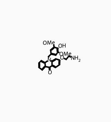 COc1cc(Cn2c3ccccc3c(=O)c3ccc(OCCN)cc32)cc(OC)c1O